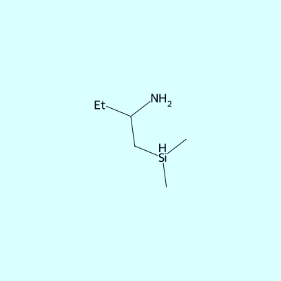 CCC(N)C[SiH](C)C